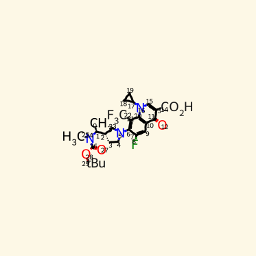 C[C@@H]([C@H]1CCN(c2c(F)cc3c(=O)c(C(=O)O)cn(C4CC4)c3c2C(F)(F)F)C1)N(C)C(=O)OC(C)(C)C